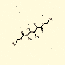 CCOC(=O)[C@@H](O)[C@@H](O)[C@H](O)[C@@H](O)C(=O)OCC